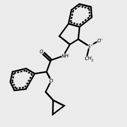 C[S+]([O-])C1c2ccccc2CC1NC(=O)C(OCC1CC1)c1ccccc1